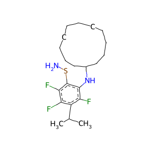 CC(C)c1c(F)c(F)c(SN)c(NC2CCCCCCCCCCC2)c1F